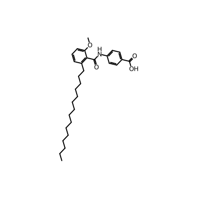 CCCCCCCCCCCCCCCc1cccc(OC)c1C(=O)Nc1ccc(C(=O)O)cc1